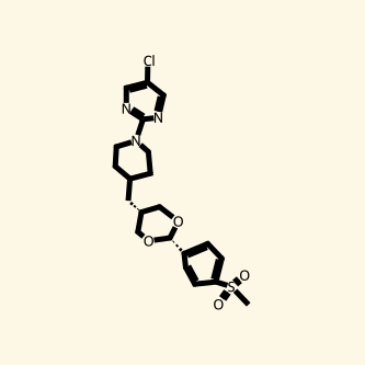 CS(=O)(=O)c1ccc([C@H]2OC[C@@H](CC3CCN(c4ncc(Cl)cn4)CC3)CO2)cc1